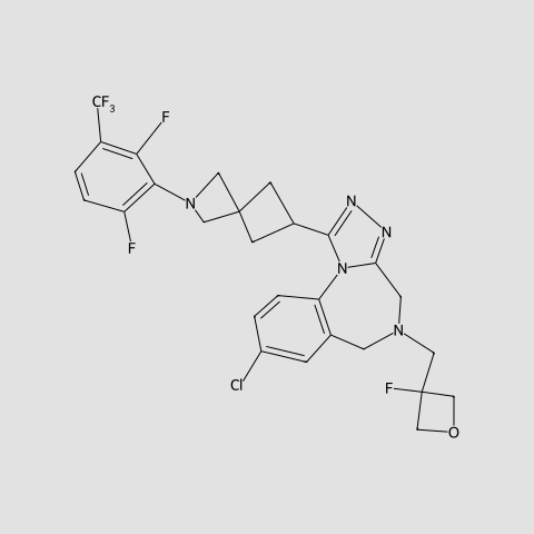 Fc1ccc(C(F)(F)F)c(F)c1N1CC2(CC(c3nnc4n3-c3ccc(Cl)cc3CN(CC3(F)COC3)C4)C2)C1